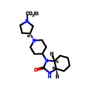 CCOC(=O)N1CC[C@@H](N2CCC(N3C(=O)N[C@@H]4CCCC[C@H]43)CC2)C1